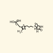 Cc1nc(CCCC[C@@H]2SCC3NC(=O)N[C@@H]32)sc1CCON(O)O